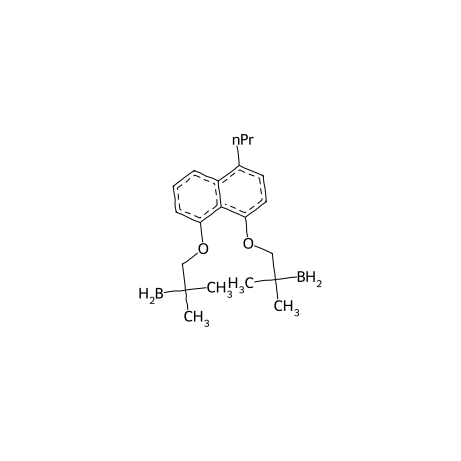 BC(C)(C)COc1cccc2c(CCC)ccc(OCC(B)(C)C)c12